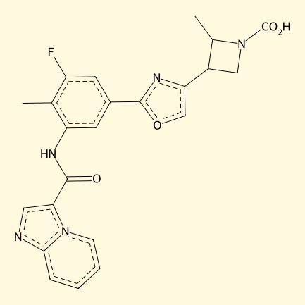 Cc1c(F)cc(-c2nc(C3CN(C(=O)O)C3C)co2)cc1NC(=O)c1cnc2ccccn12